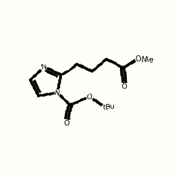 COC(=O)CCCc1nccn1C(=O)OC(C)(C)C